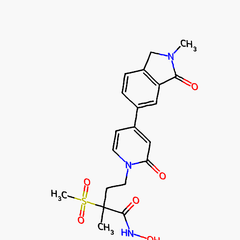 CN1Cc2ccc(-c3ccn(CCC(C)(C(=O)NO)S(C)(=O)=O)c(=O)c3)cc2C1=O